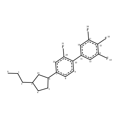 CCCC1CCC(c2ccc(-c3cc(F)c(F)c(F)c3)c(F)c2)C1